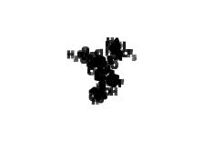 Cn1nc(NS(C)(=O)=O)c2c(Cl)ccc(-c3ccc(C#CC4(O)CO[C@H]5OCC[C@H]54)nc3[C@H](Cc3cc(F)cc(F)c3)NC(=O)Cn3nc(C(F)(F)F)c4c3C(F)(F)[C@@H]3C[C@H]43)c21